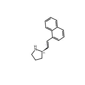 C(=C\[C@H]1CCCN1)/c1cccc2ccccc12